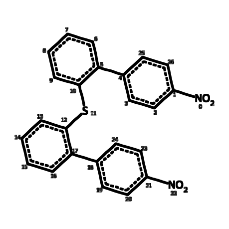 O=[N+]([O-])c1ccc(-c2ccccc2Sc2ccccc2-c2ccc([N+](=O)[O-])cc2)cc1